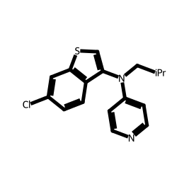 CC(C)CN(c1ccncc1)c1csc2cc(Cl)ccc12